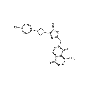 Cc1ccc(=O)n2ccn(Cc3nn(C4CC(c5ccc(Cl)cc5)C4)c(=O)o3)c(=O)c12